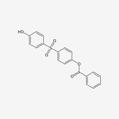 O=C(Oc1ccc(S(=O)(=O)c2ccc(O)cc2)cc1)c1ccccc1